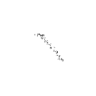 NCCOCCOCCOCCONN